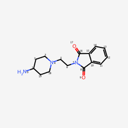 NC1CCN(CCN2C(=O)c3ccccc3C2=O)CC1